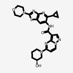 O=C(Nc1cc2sc(N3CCOCC3)nc2nc1C1CC1)c1cnn2ccc(N3CCC[C@H](O)C3)nc12